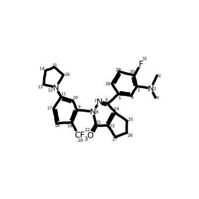 CN(C)c1cc(-c2nn(-c3cc(N4CCCC4)ccc3C(F)(F)F)c(=O)c3c2CCC3)ccc1F